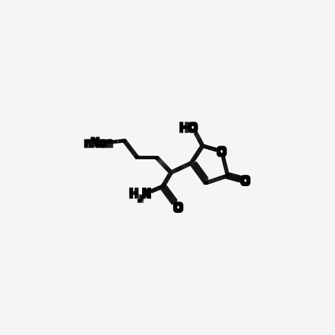 CCCCCCCCCCCCC(C(N)=O)C1=CC(=O)OC1O